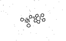 c1ccc(C2=C(c3ccccc3)c3cccc4c3c3c5c2cccc5ccc3n4-c2cccc(-c3nc(-c4ccccc4)nc(-c4ccccc4)n3)c2)cc1